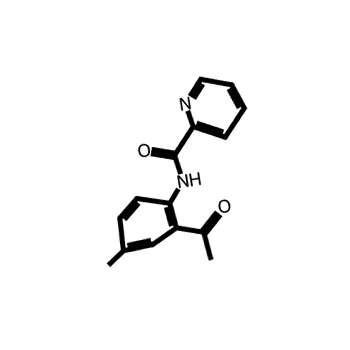 CC(=O)c1cc(C)ccc1NC(=O)c1ccccn1